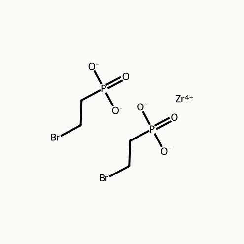 O=P([O-])([O-])CCBr.O=P([O-])([O-])CCBr.[Zr+4]